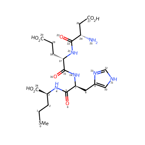 CSCC[C@H](NC(=O)[C@H](Cc1c[nH]cn1)NC(=O)[C@H](CCC(=O)O)NC(=O)[C@@H](N)CC(=O)O)C(=O)O